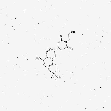 CC1(C)CC=C(c2cc(C3CC(=O)N(CCO)C(=O)C3)ccc2C(N)=O)CC1